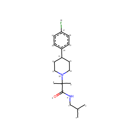 CC(C)CNC(=O)C(C)(C)N1CCC(c2ccc(F)cc2)CC1